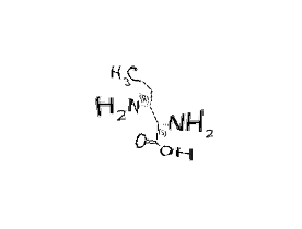 CC[C@@H](N)[C@H](N)C(=O)O